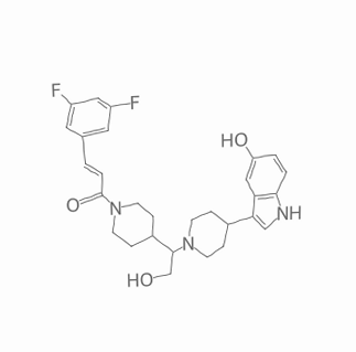 O=C(C=Cc1cc(F)cc(F)c1)N1CCC(C(CO)N2CCC(c3c[nH]c4ccc(O)cc34)CC2)CC1